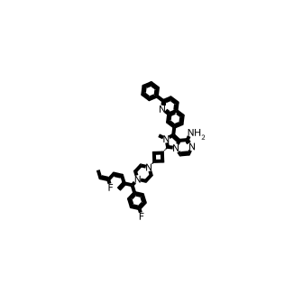 C=C(/C=C\C(F)=C/C)C(c1ccc(F)cc1)N1CCN([C@H]2C[C@@H](C3N(C)C(c4ccc5ccc(-c6ccccc6)nc5c4)=C4C(N)=NC=CN43)C2)CC1